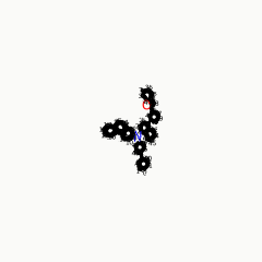 c1ccc(-c2ccc(N(c3ccc4c(ccc5ccccc54)c3)c3ccc(-c4cccc(-c5cc6ccccc6o5)c4)c4ccccc34)cc2)cc1